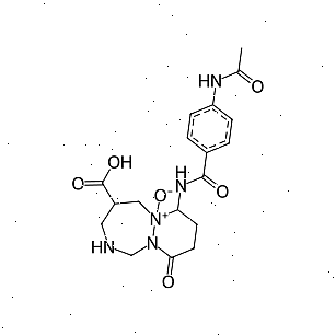 CC(=O)Nc1ccc(C(=O)NC2CCC(=O)N3CNCC(C(=O)O)C[N+]23[O-])cc1